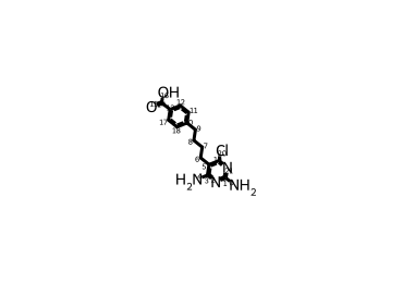 Nc1nc(N)c(CCCCc2ccc(C(=O)O)cc2)c(Cl)n1